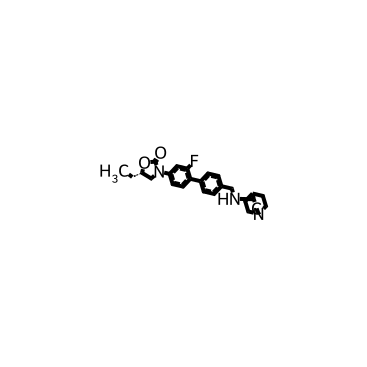 CC[C@H]1CN(c2ccc(-c3ccc(CNC4CN5CCC4CC5)cc3)c(F)c2)C(=O)O1